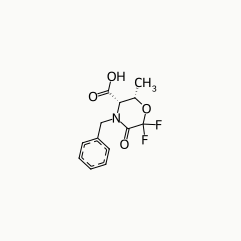 C[C@@H]1OC(F)(F)C(=O)N(Cc2ccccc2)[C@@H]1C(=O)O